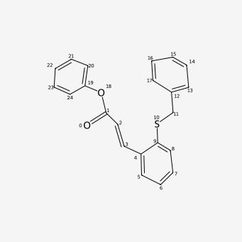 O=C(C=Cc1ccccc1SCc1ccccc1)Oc1ccccc1